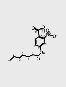 CCCCCC[C@H](C)Oc1ccc(C(=O)O)c([N+](=O)[O-])c1